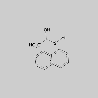 CCSC(O)C(=O)O.c1ccc2ccccc2c1